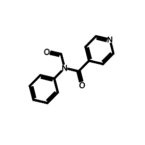 O=CN(C(=O)c1ccncc1)c1ccccc1